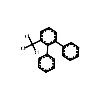 ClC(Cl)(Cl)c1cccc(-c2ccccc2)c1-c1ccccc1